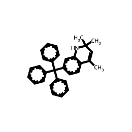 CC1=CC(C)(C)Nc2cc(C(c3ccccc3)(c3ccccc3)c3ccccc3)ccc21